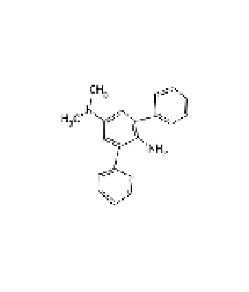 CN(C)c1cc(-c2ccccc2)c(N)c(-c2ccccc2)c1